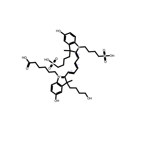 CC1(CCCCO)C(/C=C/C=C/C=C2/N(CCCCS(=O)(=O)O)c3ccc(O)cc3C2(C)CCCCS(=O)(=O)O)=[N+](CCCCCC(=O)O)c2ccc(O)cc21